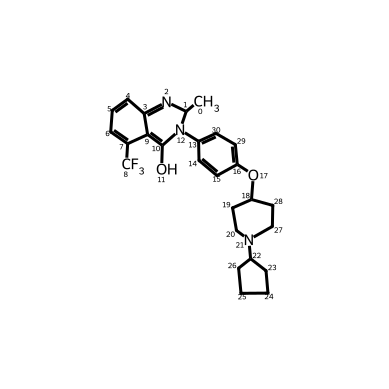 CC1N=c2cccc(C(F)(F)F)c2=C(O)N1c1ccc(OC2CCN(C3CCCC3)CC2)cc1